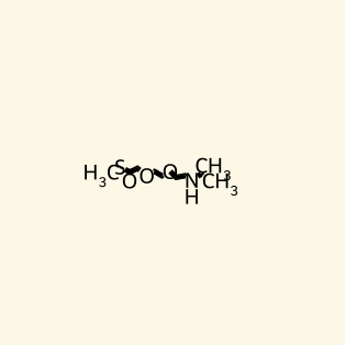 CSC(=O)COCCOCCNC(C)C